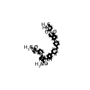 C=C1CCC(n2ccc3cc(N4CCC(CN5CCC(c6ccc(Nc7nc(N8CCC[C@@H](N9CCN(C)C9=O)C8)cnc7C(N)=O)cc6)CC5)CC4)ccc3c2=O)C(=O)N1